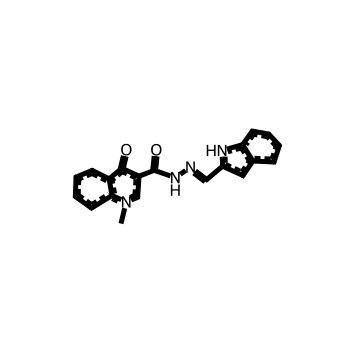 Cn1cc(C(=O)NN=Cc2cc3ccccc3[nH]2)c(=O)c2ccccc21